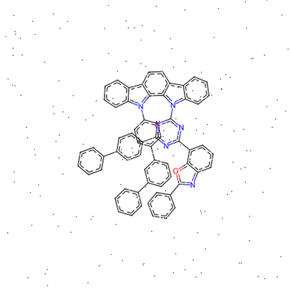 c1ccc(-c2ccc(-c3nc(-c4cccc5nc(-c6ccccc6)oc45)nc(-n4c5ccccc5c5ccc6c7ccccc7n(-c7ccc(-c8cccc(-c9ccccc9)c8)cc7)c6c54)n3)cc2)cc1